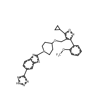 FC(F)(F)Oc1ccccc1-c1noc(C2CC2)c1COC1CCN(c2nc3ccc(-c4nn[nH]n4)cc3s2)CC1